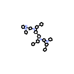 C1=CC2C(C=C1C1C=c3c(n(-c4ccc(-c5nc6ccccc6n5-c5ccccc5)cc4)c4ccc(-c5ccccc5)cc34)=CC1)c1cc(-c3ccccc3)ccc1N2c1ccc2c(c1)c1cc(-c3ccccc3)ccc1n2-c1ccccc1